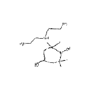 CC1(C)CC(O)CC(C)(C)N1O.NCCNCCN